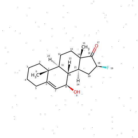 C[C@]12CCCCC1=C[C@H](O)[C@@H]1[C@@H]2CC[C@]2(C)C(=O)[C@@H](F)C[C@@H]12